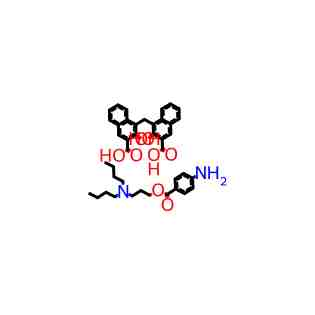 CCCCN(CCCC)CCCOC(=O)c1ccc(N)cc1.O=C(O)c1cc2ccccc2c(Cc2c(O)c(C(=O)O)cc3ccccc23)c1O